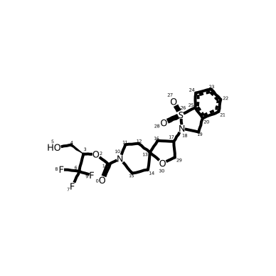 O=C(O[C@H](CO)C(F)(F)F)N1CCC2(CC1)CC(N1Cc3ccccc3S1(=O)=O)CO2